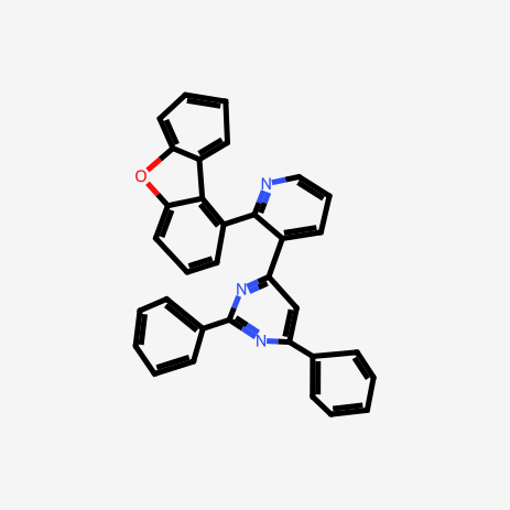 c1ccc(-c2cc(-c3cccnc3-c3cccc4oc5ccccc5c34)nc(-c3ccccc3)n2)cc1